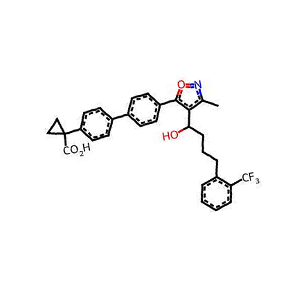 Cc1noc(-c2ccc(-c3ccc(C4(C(=O)O)CC4)cc3)cc2)c1C(O)CCCc1ccccc1C(F)(F)F